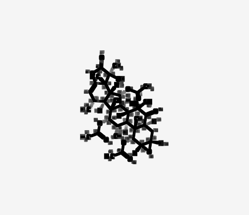 CC(=O)O[C@@H]1[C@H]2[C@H]3[C@H]([C@H](C)[C@H](OC(C)=O)[C@]2(C)[C@@H]2[C@@H]1[C@]1(C)C(=C[C@H]2C)OC(=O)[C@@]1(C)O)[C@]1(C)[C@H](C[C@@H]2O[C@@H]2[C@@H]1OC(C)=O)C(=O)C3(O)O